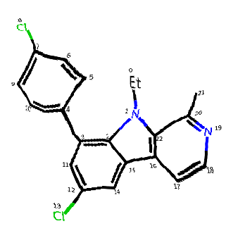 CCn1c2c(-c3ccc(Cl)cc3)cc(Cl)cc2c2ccnc(C)c21